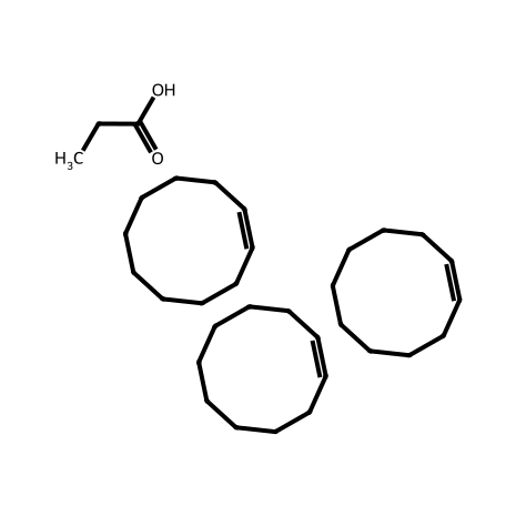 C1=CCCCCCCCC1.C1=CCCCCCCCC1.C1=CCCCCCCCC1.CCC(=O)O